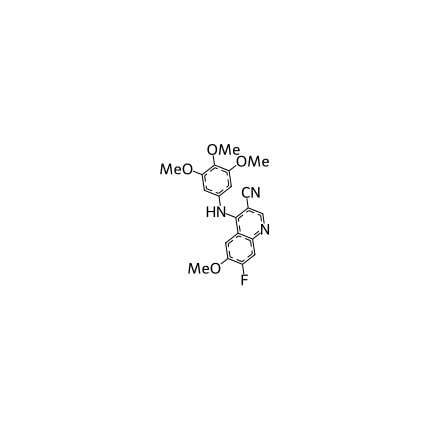 COc1cc2c(Nc3cc(OC)c(OC)c(OC)c3)c(C#N)cnc2cc1F